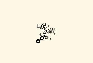 CC(C)C[C@H](NC(=O)OC(C)(C)c1ccc(-c2ccccc2)cc1)C(=O)N1CSC(C)(C)[C@H]1C(=O)O